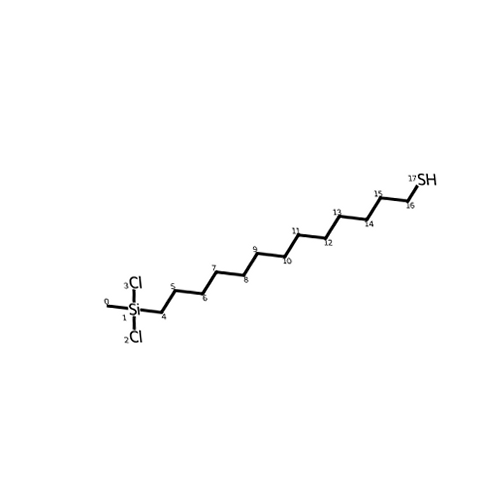 C[Si](Cl)(Cl)CCCCCCCCCCCCCS